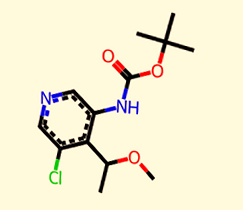 COC(C)c1c(Cl)cncc1NC(=O)OC(C)(C)C